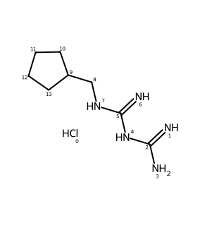 Cl.N=C(N)NC(=N)NCC1CCCC1